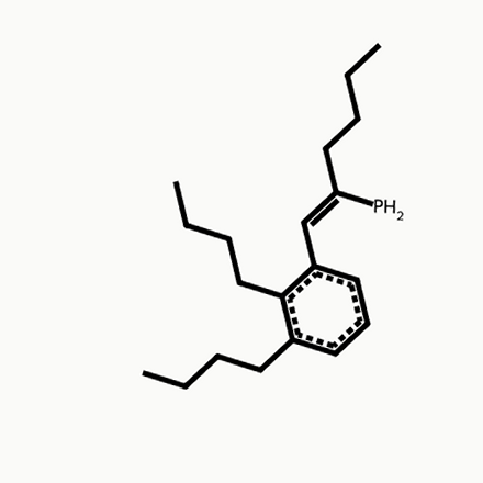 CCCCC(P)=Cc1cccc(CCCC)c1CCCC